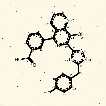 O=C(O)c1cccc(-c2nc(-c3nnc(Cc4ccc(F)cc4)o3)c(O)c3ncccc23)c1